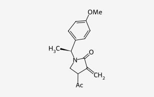 C=C1C(=O)N([C@@H](C)c2ccc(OC)cc2)CC1C(C)=O